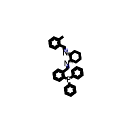 Cc1ccccc1/C=N/[C@@H]1CCCC[C@H]1/N=C/c1ccccc1P(c1ccccc1)c1ccccc1